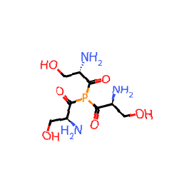 N[C@@H](CO)C(=O)P(C(=O)[C@@H](N)CO)C(=O)[C@@H](N)CO